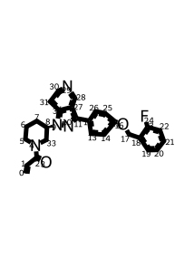 C=CC(=O)N1CCC[C@@H](n2nc(-c3ccc(OCc4ccccc4F)cc3)c3cnccc32)C1